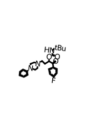 CC(C)(C)NC(=O)OC(CCN1CCN(c2ccccc2)CC1)C(=O)c1ccc(F)cc1